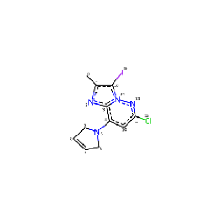 Cc1nc2c(N3CC=CC3)cc(Cl)nn2c1I